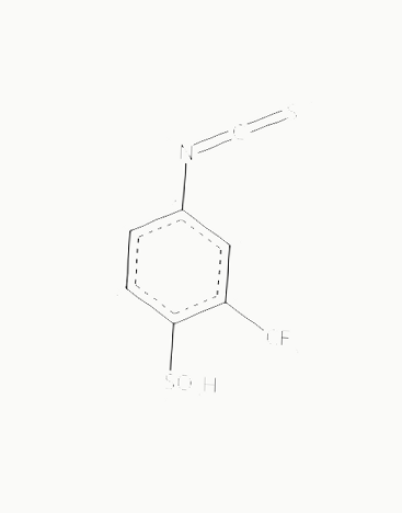 O=S(=O)(O)c1ccc(N=C=S)cc1C(F)(F)F